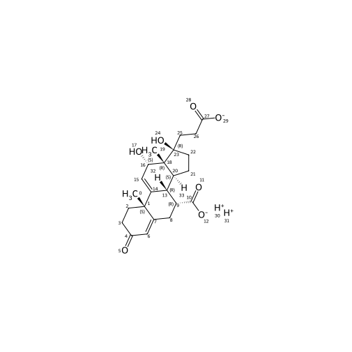 C[C@]12CCC(=O)C=C1C[C@@H](C(=O)[O-])[C@@H]1C2=C[C@H](O)[C@@]2(C)[C@H]1CC[C@@]2(O)CCC(=O)[O-].[H+].[H+]